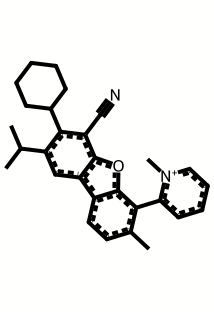 Cc1ccc2c(oc3c(C#N)c(C4CCCCC4)c(C(C)C)cc32)c1-c1cccc[n+]1C